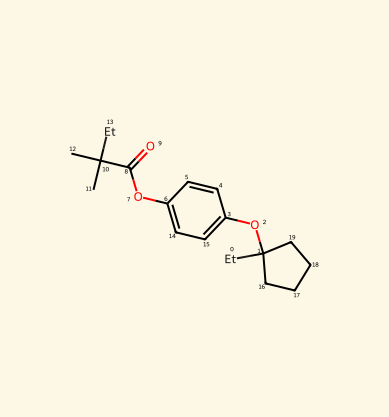 CCC1(Oc2ccc(OC(=O)C(C)(C)CC)cc2)CCCC1